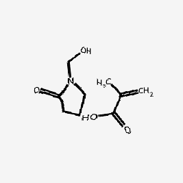 C=C(C)C(=O)O.O=C1CCCN1CO